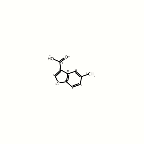 [CH2]c1ccc2scc(C(=O)O)c2c1